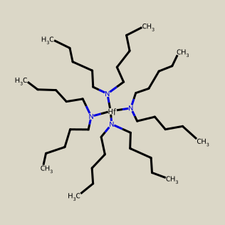 CCCCC[N](CCCCC)[Hf]([N](CCCCC)CCCCC)([N](CCCCC)CCCCC)[N](CCCCC)CCCCC